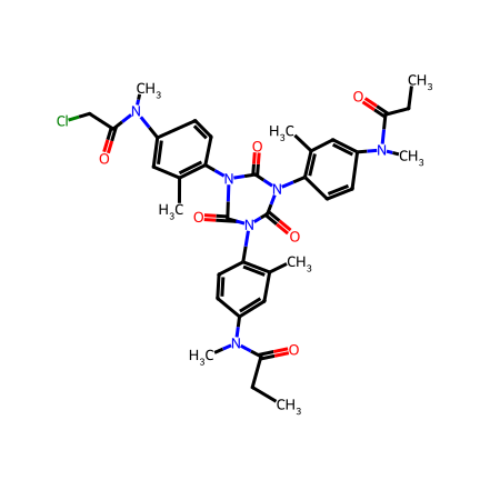 CCC(=O)N(C)c1ccc(-n2c(=O)n(-c3ccc(N(C)C(=O)CC)cc3C)c(=O)n(-c3ccc(N(C)C(=O)CCl)cc3C)c2=O)c(C)c1